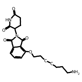 NCCCCCCCOc1cccc2c1C(=O)N(C1CCC(=O)NC1=O)C2=O